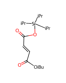 CC(C)COC(=O)C=CC(=O)O[Si](C(C)C)(C(C)C)C(C)C